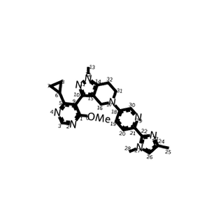 COc1ncnc(C2CC2)c1-c1nn(C)c2c1CN(c1ccc(-c3nc(C)cn3C)nc1)CC2